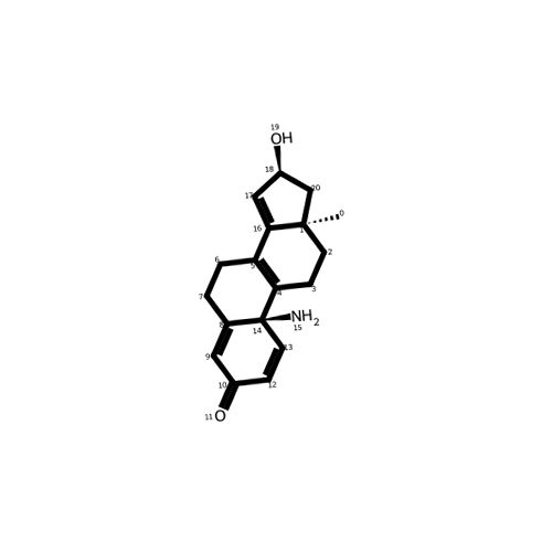 C[C@]12CCC3=C(CCC4=CC(=O)C=C[C@]43N)C1=C[C@@H](O)C2